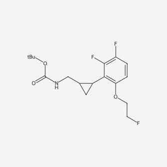 CC(C)(C)OC(=O)NCC1CC1c1c(OCCF)ccc(F)c1F